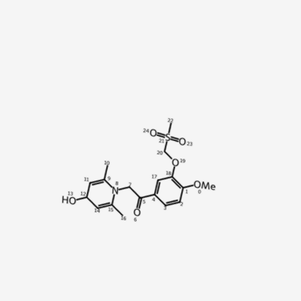 COc1ccc(C(=O)CN2C(C)=CC(O)C=C2C)cc1OCS(C)(=O)=O